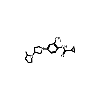 CC1CCCN1C1CCN(c2ccc(NC(=O)C3CC3)c(C(F)(F)F)c2)C1